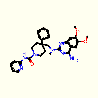 COc1cc2nc(N(C)CC3(c4ccccc4)CCN(C(=O)Nc4ccccn4)CC3)nc(N)c2cc1OC